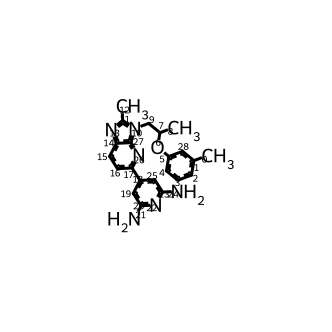 Cc1cccc(OC(C)Cn2c(C)nc3ccc(-c4cc(N)nc(N)c4)nc32)c1